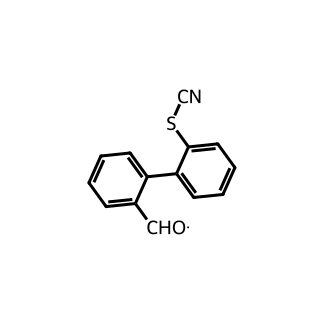 N#CSc1ccccc1-c1ccccc1[C]=O